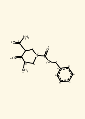 NC(=O)C1CN(C(=O)OCc2ccccc2)CC(N)C1=O